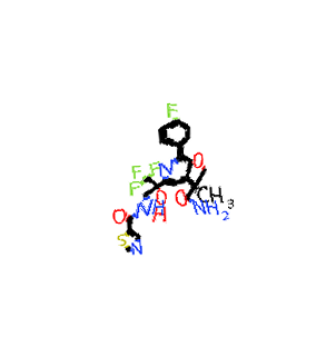 C[C@]1(C(N)=O)COc2c1cc(C(O)(CNC(=O)c1cncs1)C(F)(F)F)nc2-c1ccc(F)cc1